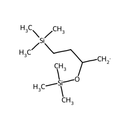 [CH2]C(CC[Si](C)(C)C)O[Si](C)(C)C